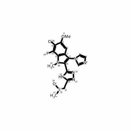 COc1cc2c(-n3ccnc3)c(-c3nnc(C[S+](C)[O-])[nH]3)n(C)c2c(F)c1Cl